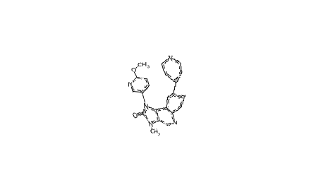 COc1ccc(-n2c(=O)n(C)c3cnc4ccc(-c5ccncc5)cc4c32)cn1